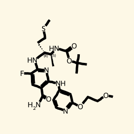 COCCOc1cc(Nc2nc(N[C@H](CCSC)[C@H](C)NC(=O)OC(C)(C)C)c(F)cc2C(N)=O)ccn1